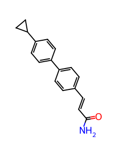 NC(=O)C=Cc1ccc(-c2ccc(C3CC3)cc2)cc1